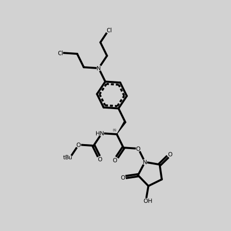 CC(C)(C)OC(=O)N[C@@H](Cc1ccc(N(CCCl)CCCl)cc1)C(=O)ON1C(=O)CC(O)C1=O